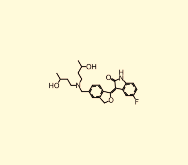 CC(O)CCN(CCC(C)O)Cc1ccc2c(c1)CO/C2=C1/C(=O)Nc2ccc(F)cc21